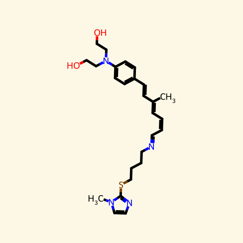 CC(/C=C/c1ccc(N(CCO)CCO)cc1)=C\C=C/C=N/CCCCSc1nccn1C